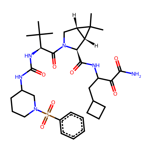 CC(C)(C)[C@H](NC(=O)NC1CCCN(S(=O)(=O)c2ccccc2)C1)C(=O)N1C[C@H]2[C@@H]([C@H]1C(=O)NC(CC1CCC1)C(=O)C(N)=O)C2(C)C